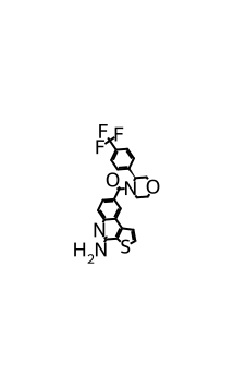 Nc1nc2ccc(C(=O)N3CCOC[C@@H]3c3ccc(C(F)(F)F)cc3)cc2c2ccsc12